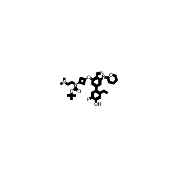 CCc1cc(O)c(F)cc1-c1cc(O[C@H]2C[C@H](N(CCN(C)C)C(=O)OC(C)(C)C)C2)c2cnn(C3CCCCO3)c2c1